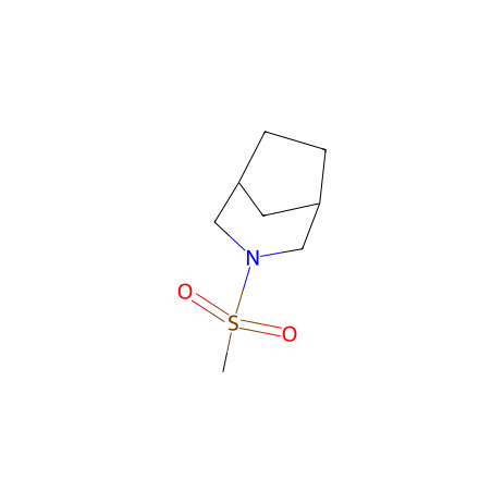 CS(=O)(=O)N1CC2CCC(C2)C1